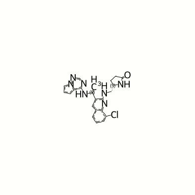 C[C@H](Nc1ncnn2cccc12)c1cc2cccc(Cl)c2nc1NC[C@@H]1CCC(=O)N1